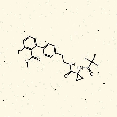 COC(=O)c1c(F)cccc1-c1ccc(CCNC(=O)C2(NC(=O)C(F)(F)F)CC2)cc1